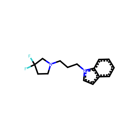 FC1(F)CCN(CCCn2ccc3ccccc32)C1